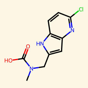 CN(Cc1cc2nc(Cl)ccc2[nH]1)C(=O)O